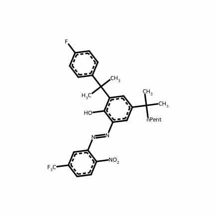 CCCCCC(C)(C)c1cc(N=Nc2cc(C(F)(F)F)ccc2[N+](=O)[O-])c(O)c(C(C)(C)c2ccc(F)cc2)c1